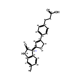 O=C(O)CCc1ccc(C2=C/C(=C3\C(=O)Nc4cc(F)ccc43)OC2)cc1